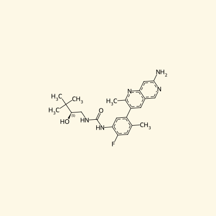 Cc1cc(F)c(NC(=O)NC[C@@H](O)C(C)(C)C)cc1-c1cc2cnc(N)cc2nc1C